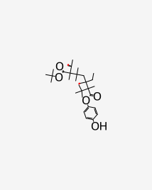 CCC(C)(CC(C)(C)C(C)(C(=O)OC(C)(C)C)C(C)(C)C)C(C)(C(=O)Oc1ccc(O)cc1)C(C)(C)C